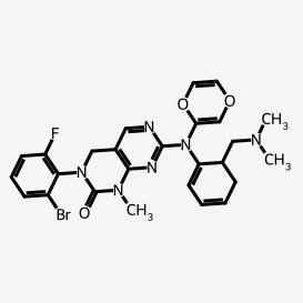 CN(C)CC1CC=CC=C1N(C1=COC=CO1)c1ncc2c(n1)N(C)C(=O)N(c1c(F)cccc1Br)C2